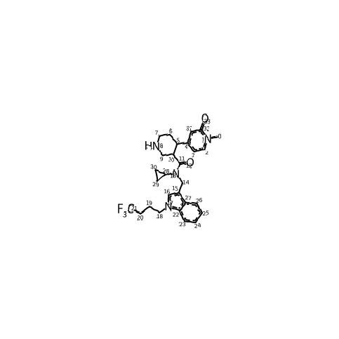 Cn1ccc(C2CCNCC2C(=O)N(Cc2cn(CCCC(F)(F)F)c3ccccc23)C2CC2)cc1=O